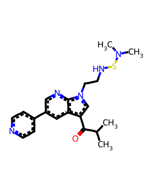 CC(C)C(=O)c1cn(CCNSN(C)C)c2ncc(-c3ccncc3)cc12